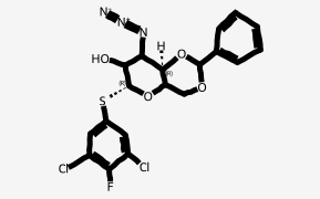 [N-]=[N+]=NC1C(O)[C@@H](Sc2cc(Cl)c(F)c(Cl)c2)OC2COC(c3ccccc3)O[C@@H]21